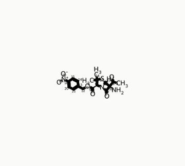 CC(=O)[C@]1(N)C(=O)N2[C@@H](C(=O)OCc3ccc([N+](=O)[O-])cc3)C(C)(C)S[C@@H]21